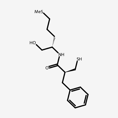 CSCCC[C@@H](CO)NC(=O)[C@@H](CS)Cc1ccccc1